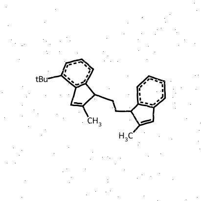 CC1=Cc2ccccc2C1CCC1C(C)=Cc2c1cccc2C(C)(C)C